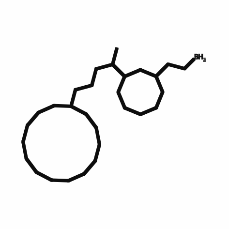 BCCC1CCCCCC(C(C)CCCC2CCCCCCCCCCCCC2)C1